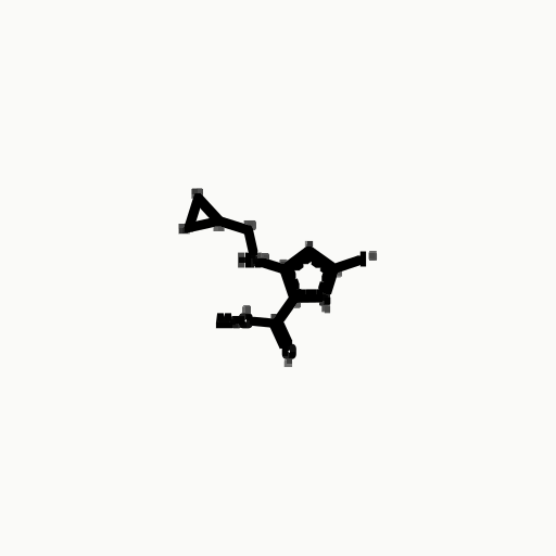 COC(=O)c1sc(I)cc1NCC1CC1